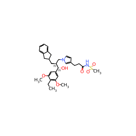 CCc1c(OC)cc([C@@H](O)[C@@H](CC2Cc3ccccc3C2)Cn2ccc(CCC(=O)NS(C)(=O)=O)c2)cc1OC